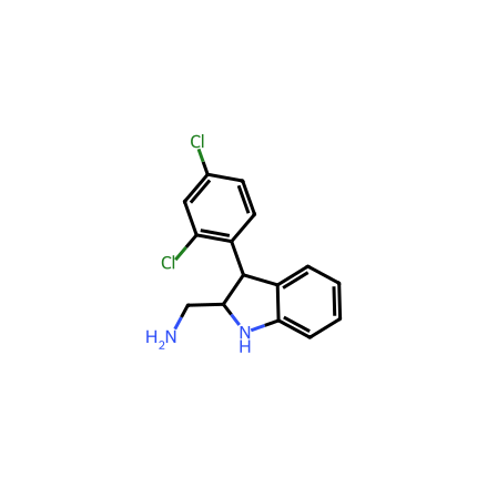 NCC1Nc2ccccc2C1c1ccc(Cl)cc1Cl